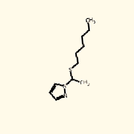 CCCCCCSC(C)n1cccn1